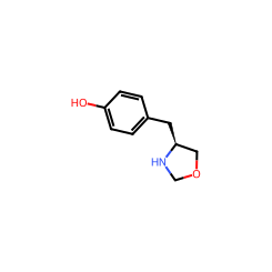 Oc1ccc(C[C@H]2COCN2)cc1